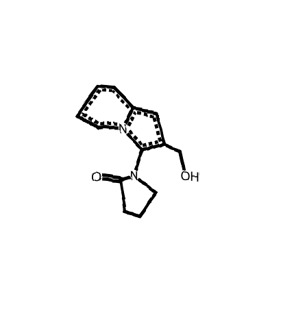 O=C1CCCN1c1c(CO)cc2ccccn12